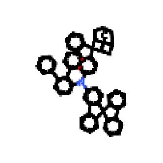 c1ccc(-c2cccc(N(c3ccc4c(c3)-c3ccccc3C43c4ccccc4-c4ccccc43)c3ccc4c(c3)-c3ccccc3C43C4CC5CC6CC3C64C5)c2-c2ccccc2)cc1